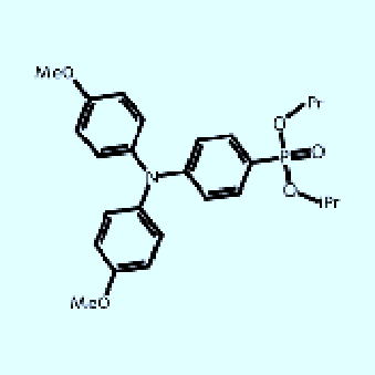 COc1ccc(N(c2ccc(OC)cc2)c2ccc(P(=O)(OC(C)C)OC(C)C)cc2)cc1